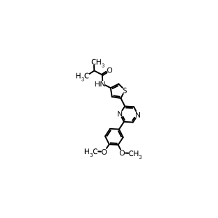 COc1ccc(-c2cncc(-c3cc(NC(=O)C(C)C)cs3)n2)cc1OC